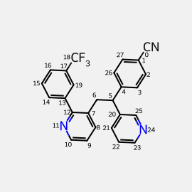 N#Cc1ccc(C(Cc2cccnc2-c2cccc(C(F)(F)F)c2)c2cccnc2)cc1